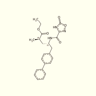 CCOC(=O)[C@H](C)C[C@@H](Cc1ccc(-c2ccccc2)cc1)NC(=O)c1noc(=O)[nH]1